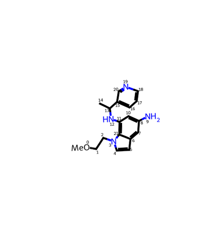 COCCn1ccc2cc(N)cc(NC(C)c3cccnc3)c21